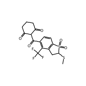 CSC1Cc2c(ccc(C(=O)C3C(=O)CCCC3=O)c2C(F)(F)F)S1(=O)=O